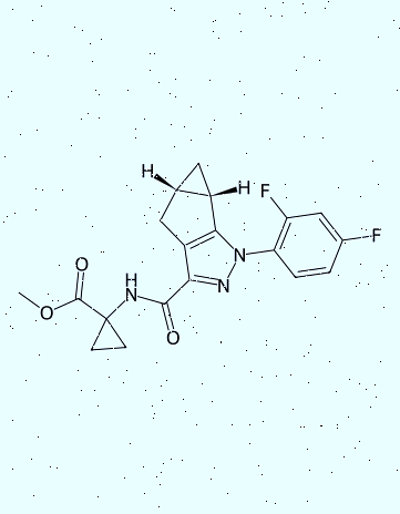 COC(=O)C1(NC(=O)c2nn(-c3ccc(F)cc3F)c3c2C[C@@H]2C[C@H]32)CC1